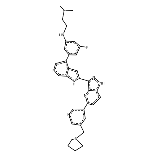 CN(C)CCNc1cc(F)cc(-c2cncc3[nH]c(-c4n[nH]c5ccc(-c6cncc(CN7CCCC7)c6)nc45)cc23)c1